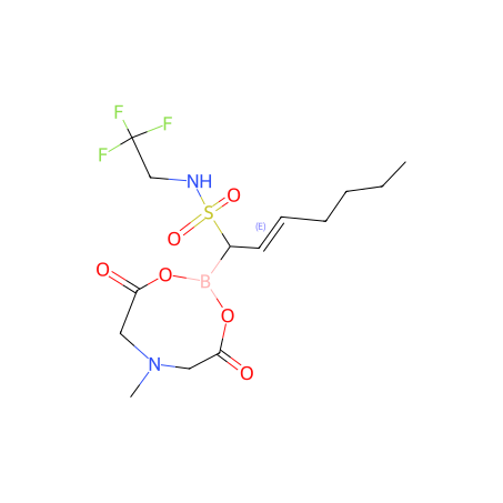 CCCC/C=C/C(B1OC(=O)CN(C)CC(=O)O1)S(=O)(=O)NCC(F)(F)F